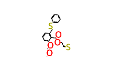 COCOc1cccc(CSc2ccccc2)c1C(=O)OCC=S